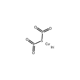 O=P(=O)SP(=O)=O.[Cu].[In]